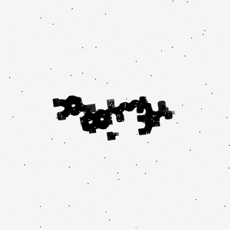 CCc1nc([N+](=O)[O-])c(C[N+](C)(C)C/C=C/C(=O)Nc2cc3c(Nc4ccc(Br)c(Cl)c4)ncnc3cn2)n1C.[Br-]